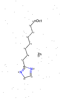 CCCCCCCCCCCCCCCC1=NCC=N1.[Zn]